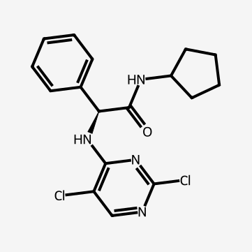 O=C(NC1CCCC1)[C@@H](Nc1nc(Cl)ncc1Cl)c1ccccc1